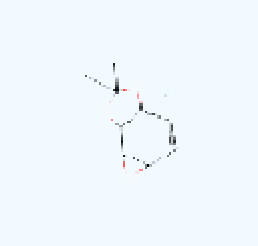 CC1(C)O[C@H]2C=CC3OC3[C@H]2O1